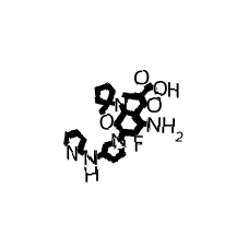 Nc1c(F)c(N2CCC(Nc3ccccn3)C2)c2c3c1c(=O)c(C(=O)O)cn3C1(CCCC1)CO2